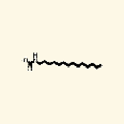 CCCCCCCCCCCCCCNC([O])=O